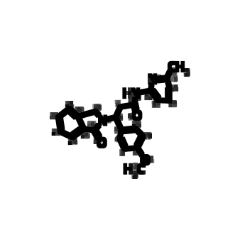 COc1ccc(C(CC(=O)Nc2cccc(C)n2)N2Cc3ccccc3C2=O)cc1